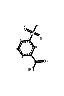 CC(C)(C)C(=O)c1cccc(S(C)(=O)=O)c1